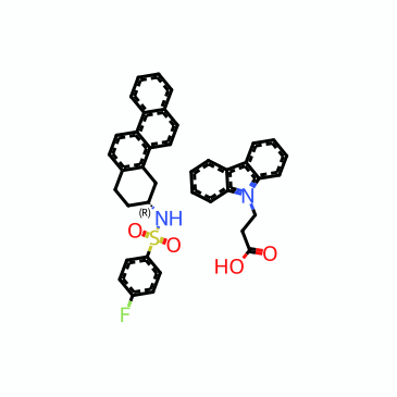 O=C(O)CCn1c2ccccc2c2ccccc21.O=S(=O)(N[C@@H]1CCc2ccc3c(ccc4ccccc43)c2C1)c1ccc(F)cc1